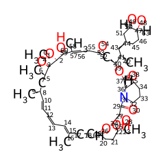 CO[C@H]1C(=O)[C@H](C)C[C@H](C)/C=C/C=C/C=C(\C)CC[C@@H]2CC[C@@H](C)[C@@](O)(O2)C(=O)C(=O)N2CCCC[C@H]2C(=O)O[C@H]([C@H](C)C[C@@H]2CC[C@H]3OO[C@@H]3C2)CC(=O)C/C=C(\C)[C@H]1O